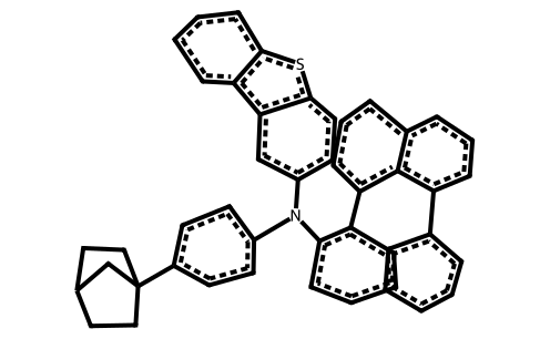 c1ccc(-c2cccc3cccc(-c4ccccc4N(c4ccc(C56CCC(CC5)C6)cc4)c4ccc5sc6ccccc6c5c4)c23)cc1